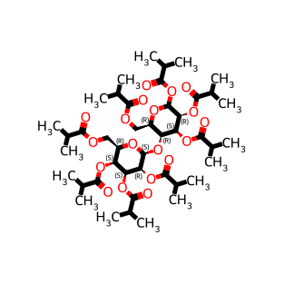 CC(C)C(=O)OC[C@H]1O[C@@H](O[C@H]2[C@H](OC(=O)C(C)C)[C@@H](OC(=O)C(C)C)C(OC(=O)C(C)C)O[C@@H]2COC(=O)C(C)C)[C@H](OC(=O)C(C)C)[C@@H](OC(=O)C(C)C)[C@H]1OC(=O)C(C)C